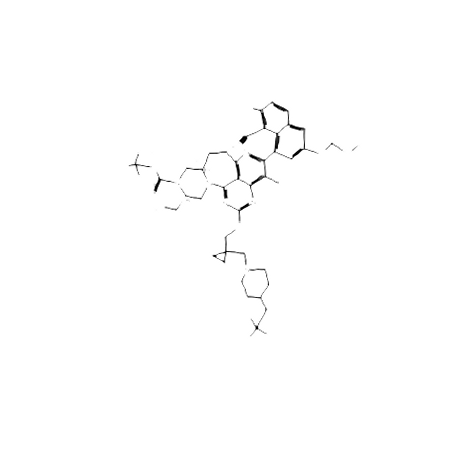 C#Cc1c(F)ccc2cc(OCOC)cc(-c3nc4c5c(nc(OCC6(CN7CCC(CC(F)(F)F)CC7)CC6)nc5c3F)N3C[C@@H](CC)N(C(=O)OC(C)(C)C)C[C@H]3CC4)c12